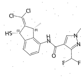 C[C@H]1C(=C(Cl)Cl)[C@@H](S)c2cccc(NC(=O)c3cn(C)nc3C(F)F)c21